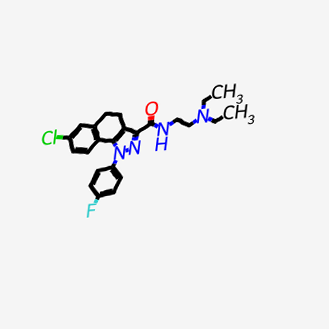 CCN(CC)CCNC(=O)c1nn(-c2ccc(F)cc2)c2c1CCc1cc(Cl)ccc1-2